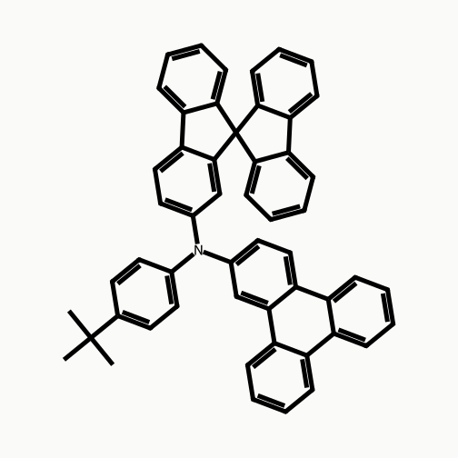 CC(C)(C)c1ccc(N(c2ccc3c(c2)C2(c4ccccc4-c4ccccc42)c2ccccc2-3)c2ccc3c4ccccc4c4ccccc4c3c2)cc1